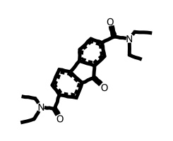 CCN(CC)C(=O)c1ccc2c(c1)C(=O)c1cc(C(=O)N(CC)CC)ccc1-2